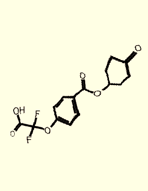 O=C1CCC(OC(=O)c2ccc(OC(F)(F)C(=O)O)cc2)CC1